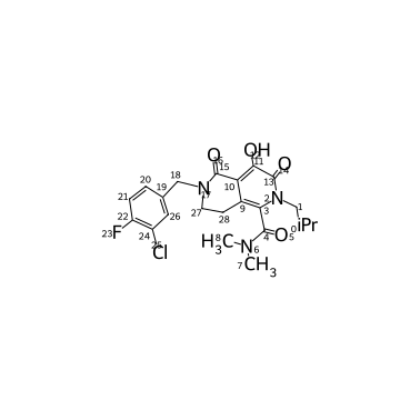 CC(C)Cn1c(C(=O)N(C)C)c2c(c(O)c1=O)C(=O)N(Cc1ccc(F)c(Cl)c1)CC2